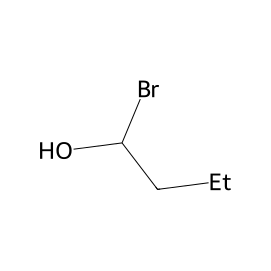 CCCC(O)Br